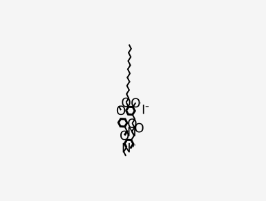 CCCCCCCCCCCCCCOc1c(OC)cc(COC(=O)N(Cc2cc[n+](CC)cc2)C(=O)c2ccccc2)cc1OC.[I-]